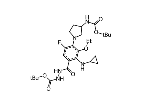 CCOc1c(NC2CC2)c(C(=O)NNC(=O)OC(C)(C)C)cc(F)c1N1CCC(NC(=O)OC(C)(C)C)C1